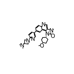 CO[C@H]1CC[C@H](n2c(=O)n(C)c3cnc4ccc(-c5ccc(N6CC(N(C)C)C6)nc5)cc4c32)CC1